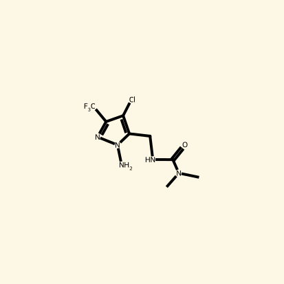 CN(C)C(=O)NCc1c(Cl)c(C(F)(F)F)nn1N